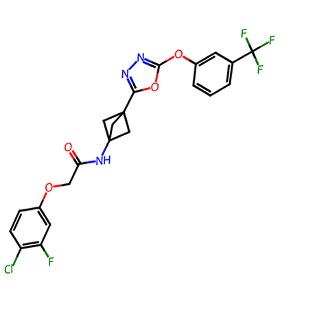 O=C(COc1ccc(Cl)c(F)c1)NC12CC(c3nnc(Oc4cccc(C(F)(F)F)c4)o3)(C1)C2